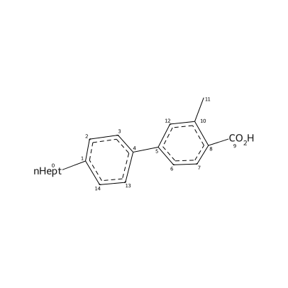 CCCCCCCc1ccc(-c2ccc(C(=O)O)c(C)c2)cc1